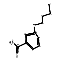 CCCCOc1cccc(C(N)=O)c1